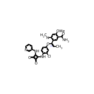 C=Nc1cc(OC)c(C(N)=O)cc1/C(=C\C)Oc1ccc(Nc2c(Nc3cccnc3)c(=O)c2=O)c(Cl)c1